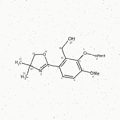 CCCCCOc1c(OC)ccc(C2=NC(C)(C)CO2)c1CO